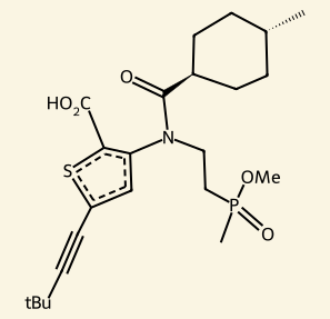 COP(C)(=O)CCN(c1cc(C#CC(C)(C)C)sc1C(=O)O)C(=O)[C@H]1CC[C@H](C)CC1